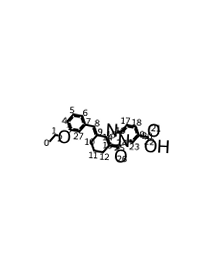 CCOc1cccc(/C=C2\CCCc3c2nc2ccc(C(=O)O)cn2c3=O)c1